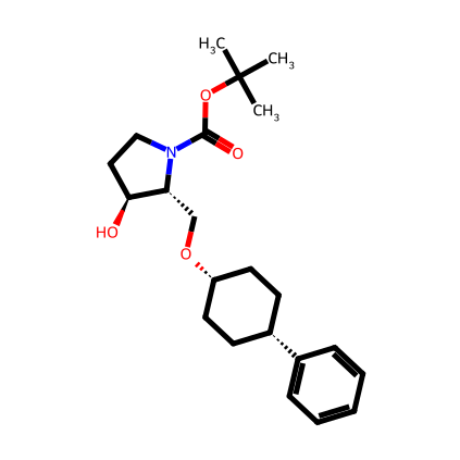 CC(C)(C)OC(=O)N1CC[C@H](O)[C@H]1CO[C@H]1CC[C@@H](c2ccccc2)CC1